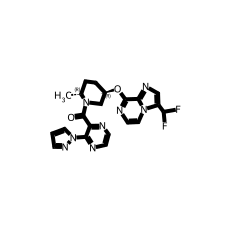 C[C@@H]1CC[C@@H](Oc2nccn3c(C(F)F)cnc23)CN1C(=O)c1nccnc1-n1cccn1